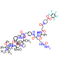 CC[C@H](C)[C@@H]([C@@H](CC(=O)N1CCC[C@H]1[C@H](OC)[C@@H](C)C(=O)N[C@@H](Cc1ccccc1)C(=O)NCc1ccc(NC(=O)[C@H](CCCCNC(N)=O)NC(=O)[C@@H](NC(=O)CCC(=O)N2CCC(C(=O)Oc3c(F)c(F)c(F)c(F)c3F)CC2)C(C)C)cc1)OC)N(C)C(=O)[C@@H](NC(=O)[C@H](C(C)C)N(C)C)C(C)C